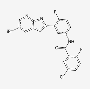 CC(C)c1cnc2nn(-c3cc(NC(=O)c4nc(Cl)ccc4F)ccc3F)cc2c1